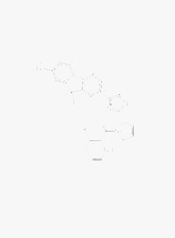 COC(=O)NC(C(=O)N1CC=C[C@H]1c1nc(-c2ccc3c(c2)C(F)(F)c2cc(Br)ccc2-3)c[nH]1)C(C)C